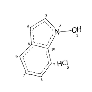 Cl.On1ccc2ccccc21